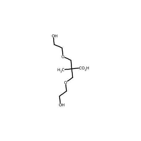 CC(COCCO)(COCCO)C(=O)O